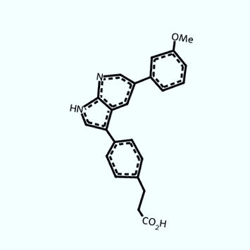 COc1cccc(-c2cnc3[nH]cc(-c4ccc(CCC(=O)O)cc4)c3c2)c1